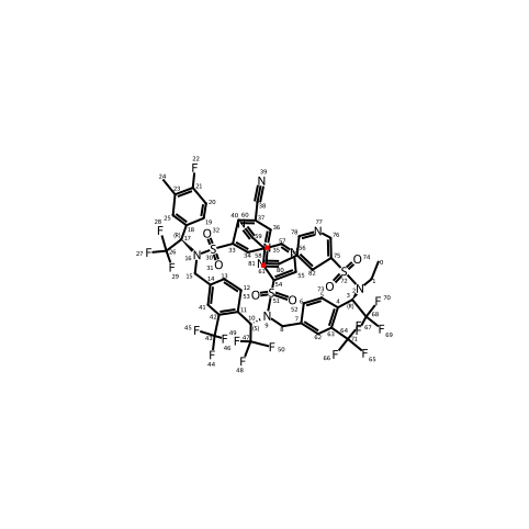 CCN([C@H](c1ccc(CN([C@@H](c2ccc(CN([C@H](c3ccc(F)c(C)c3)C(F)(F)F)S(=O)(=O)c3cncc(C#N)c3)cc2C(F)(F)F)C(F)(F)F)S(=O)(=O)c2cncc(C#N)c2)cc1C(F)(F)F)C(F)(F)F)S(=O)(=O)c1cncc(C#N)c1